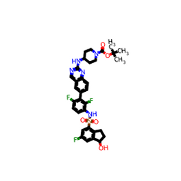 CC(C)(C)OC(=O)N1CCC(Nc2ncc3cc(-c4c(F)ccc(NS(=O)(=O)c5cc(F)cc6c5CCC6O)c4F)ccc3n2)CC1